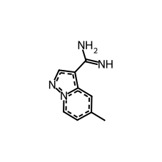 Cc1ccn2ncc(C(=N)N)c2c1